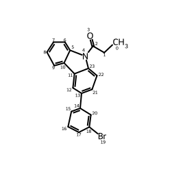 CCC(=O)n1c2ccccc2c2cc(-c3cccc(Br)c3)ccc21